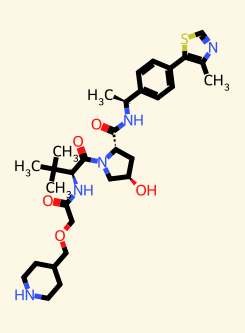 Cc1ncsc1-c1ccc([C@H](C)NC(=O)[C@@H]2C[C@@H](O)CN2C(=O)[C@@H](NC(=O)COCC2CCNCC2)C(C)(C)C)cc1